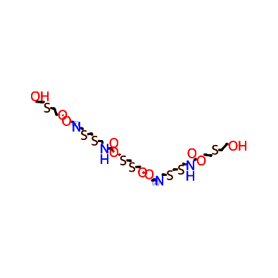 O=C(NCSCSC/N=C\OOCSCSCOC(=O)NCSCSC/N=C/OOCCSCCO)OCCSCCO